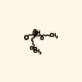 CCCCCC(=O)/C=C/[C@@H]1[C@@H](C/C=C\CCCC(=O)OC)[C@@]2(CCc3ccccc3)CO[C@@H]1C2